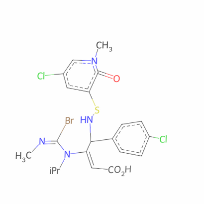 C/N=C(/Br)N(/C(=C/C(=O)O)C(NSc1cc(Cl)cn(C)c1=O)c1ccc(Cl)cc1)C(C)C